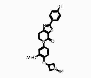 COc1cc(N2CCc3nc(-c4ccc(Cl)cc4)sc3C2=O)ccc1OC1CN(C(C)C)C1